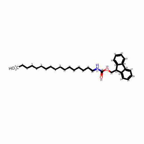 O=C(O)CCCCCCCCCCCCCCCCNC(=O)OCC1c2ccccc2-c2ccccc21